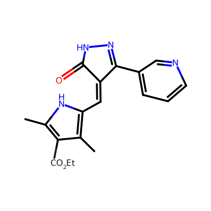 CCOC(=O)c1c(C)[nH]c(C=C2C(=O)NN=C2c2cccnc2)c1C